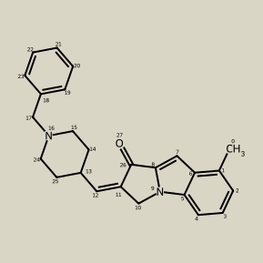 Cc1cccc2c1cc1n2CC(=CC2CCN(Cc3ccccc3)CC2)C1=O